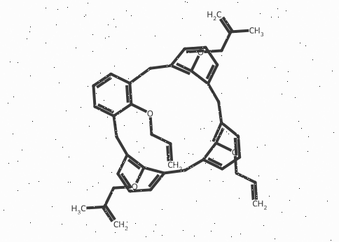 C=CCOc1c2cccc1Cc1cccc(c1OCC(=C)C)Cc1cccc(c1OCC=C)Cc1cccc(c1OCC(=C)C)C2